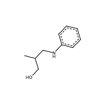 CC(CO)CNc1ccccc1